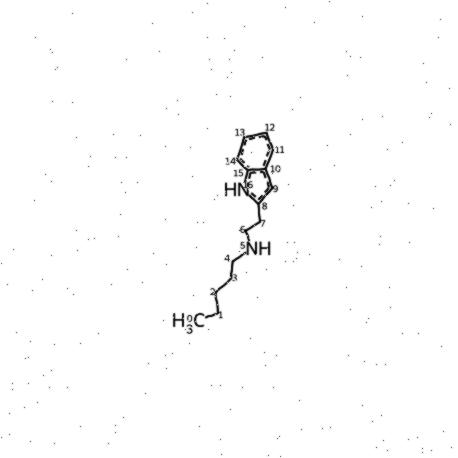 CCCCCNCCc1cc2ccccc2[nH]1